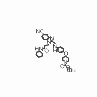 CC(C)(C)OC(=O)N1CCC(Oc2ccc(NCc3nc4cc(C#N)ccc4n3CCC(=O)NC3CCCCC3)cc2)CC1